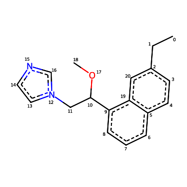 CCc1ccc2cccc(C(Cn3ccnc3)OC)c2c1